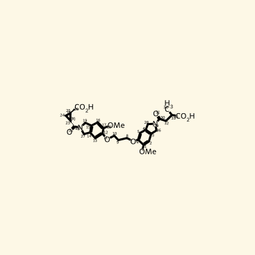 COc1cc2c(cc1OCCCOc1cc3c(cc1OC)CN(C(=O)[C@@H]1C[C@H]1C(=O)O)C3)CN(C(=O)CC(C)C(=O)O)C2